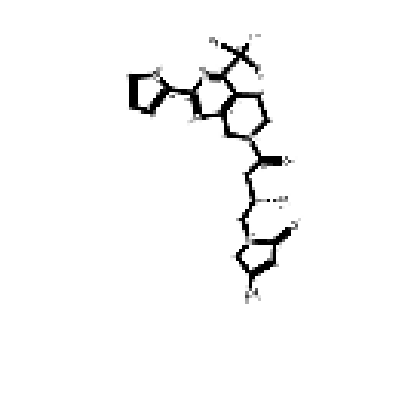 CC1=CC(=O)N(C[C@@H](N)CC(=O)N2CCc3c(nc(-c4ccco4)nc3C(F)(F)F)C2)C1